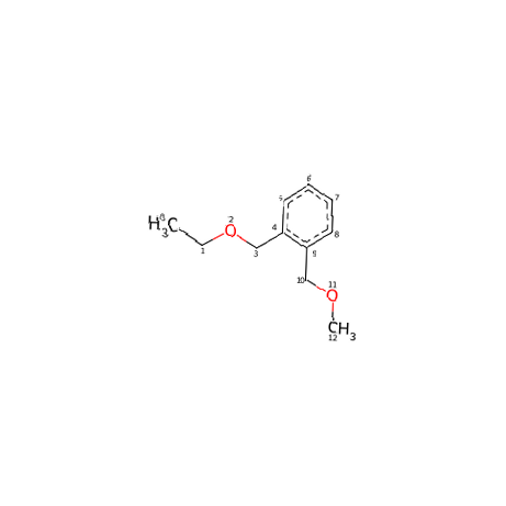 CCOCc1ccccc1COC